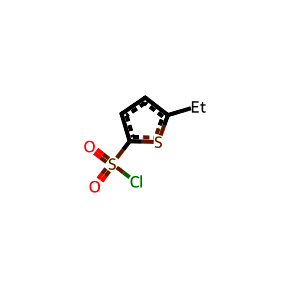 CCc1ccc(S(=O)(=O)Cl)s1